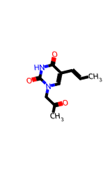 C/C=C/c1cn(CC(C)=O)c(=O)[nH]c1=O